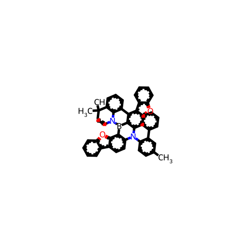 Cc1ccc(N2c3cc4oc5ccccc5c4c4c3B(c3c2ccc2c3oc3ccccc32)N2c3ccccc3C(C)(C)c3cccc-4c32)c(-c2ccccc2)c1